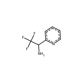 NC(c1ccccn1)C(F)(F)F